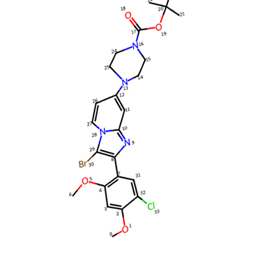 COc1cc(OC)c(-c2nc3cc(N4CCN(C(=O)OC(C)(C)C)CC4)ccn3c2Br)cc1Cl